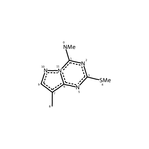 CNc1nc(SC)nc2c(C)cnn12